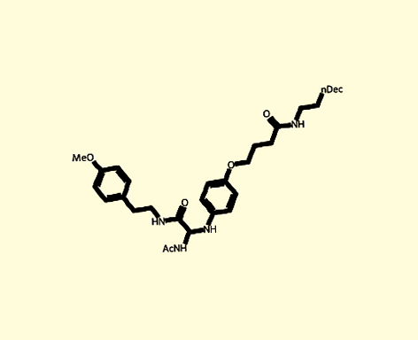 CCCCCCCCCCCCNC(=O)CCCOc1ccc(NC(NC(C)=O)C(=O)NCCc2ccc(OC)cc2)cc1